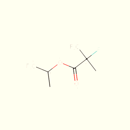 CC(OC(=O)C(C)(F)C(F)(F)F)C(F)(F)F